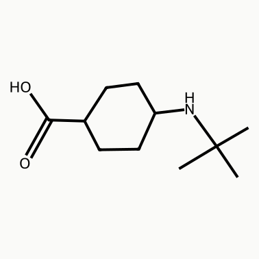 CC(C)(C)NC1CCC(C(=O)O)CC1